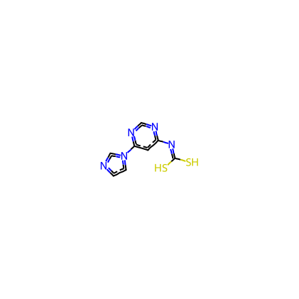 SC(S)=Nc1cc(-n2ccnc2)ncn1